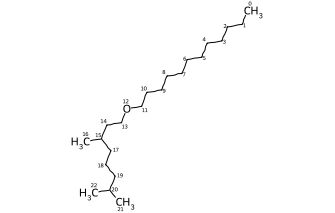 CCCCCCCCCCCCOCCC(C)CCCC(C)C